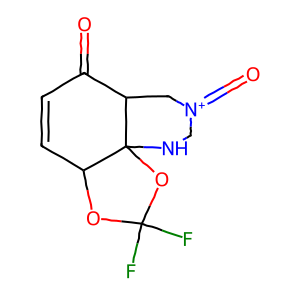 O=C1C=CC2OC(F)(F)OC23NC[N+](=O)CC13